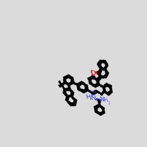 CC1(C)c2cc3ccccc3cc2-c2c(-c3ccc(/C(=C/Cc4ccccc4-c4cccc5oc6c7ccccc7ccc6c45)NC(N)c4ccccc4)cc3)cccc21